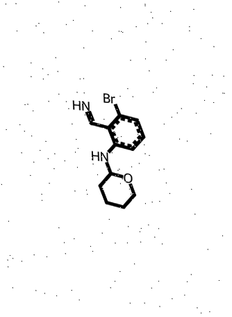 N=Cc1c(Br)cccc1NC1CCCCO1